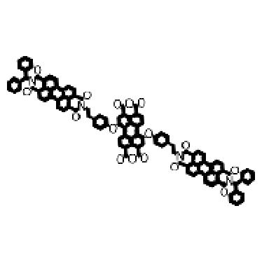 O=C1OC(=O)c2cc(Oc3ccc(CCN4C(=O)c5ccc6c7ccc8c9c(ccc(c%10ccc(c5c6%10)C4=O)c97)C(=O)N(C(c4ccccc4)c4ccccc4)C8=O)cc3)c3c4ccc5c6c(cc(Oc7ccc(CCN8C(=O)c9ccc%10c%11ccc%12c%13c(ccc(c%14ccc(c9c%10%14)C8=O)c%13%11)C(=O)N(C(c8ccccc8)c8ccccc8)C%12=O)cc7)c(c7ccc1c2c73)c64)C(=O)OC5=O